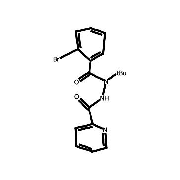 CC(C)(C)N(NC(=O)c1ccccn1)C(=O)c1ccccc1Br